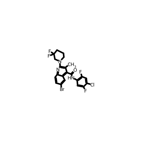 Cc1c(N2CCCC(F)(F)C2)nc2ccc(Br)cc2c1C(=O)Nc1[c]c(F)c(Cl)cc1F